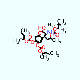 CCCC(C)OC(=O)Oc1ccc(C(CC(C)OC(=O)OCC(C)(C)C)[C@H](N)C(=O)O)cc1OC(=O)OC(C)CCC